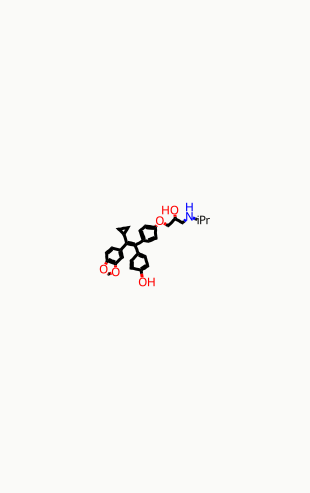 CC(C)NCC(O)COc1ccc(C(=C(c2ccc3c(c2)OCO3)C2CC2)c2ccc(O)cc2)cc1